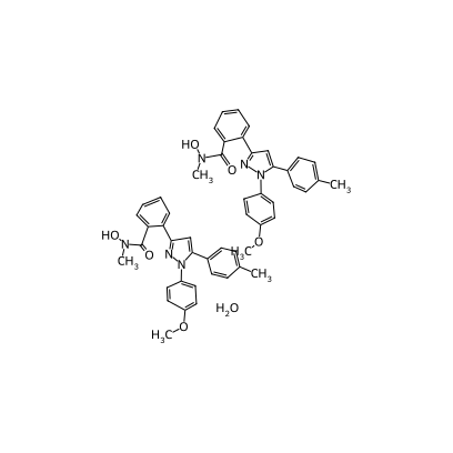 COc1ccc(-n2nc(-c3ccccc3C(=O)N(C)O)cc2-c2ccc(C)cc2)cc1.COc1ccc(-n2nc(-c3ccccc3C(=O)N(C)O)cc2-c2ccc(C)cc2)cc1.O